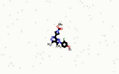 CCOc1ccc(-n2nc3c(C4CN(C(=O)OC(C)(C)C)C4)nnc(C)c3c2C)c(F)c1